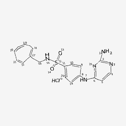 Cl.Nc1nccc(Nc2ccc(S(=O)(=O)NCc3ccccc3)cc2)n1